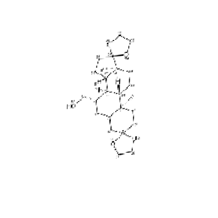 C[C@]12CCC3(CC1C[C@H](CO)[C@@H]1[C@@H]2CC[C@@]2(C)[C@H]1CCC21OCCO1)OCCO3